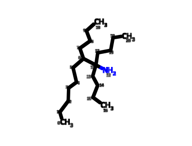 CCCCCCC(CCCC)C(N)(CCCC)CCCC